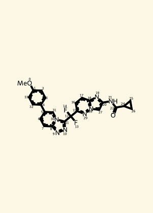 COc1ccc(-c2ccc3nnc(C(F)(F)c4ccc5nc(NC(=O)C6CC6)cn5n4)n3c2)cc1